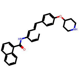 C\C=C/C(=C\C=C\c1ccc(OC2CCNCC2)cc1)NC(=O)c1cccc2ccccc12